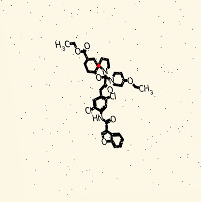 CCOC(=O)C1CCC(OC(C(=O)Cc2cc(Cl)c(NC(=O)c3coc4ccccc34)cc2Cl)(N2CCCC2)N2CCC(OCC)CC2)CC1